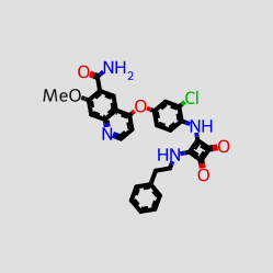 COc1cc2nccc(Oc3ccc(Nc4c(NCCc5ccccc5)c(=O)c4=O)c(Cl)c3)c2cc1C(N)=O